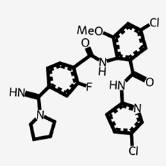 COc1cc(Cl)cc(C(=O)Nc2ccc(Cl)cn2)c1NC(=O)c1ccc(C(=N)N2CCCC2)cc1F